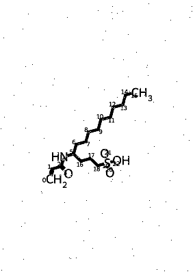 C=CC(=O)NC(CCCCCCCCCC)CCCS(=O)(=O)O